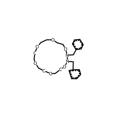 c1ccc(CN2OCCOCCOCCOCCOCCON2Cc2ccccc2)cc1